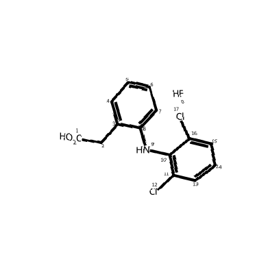 F.O=C(O)Cc1ccccc1Nc1c(Cl)cccc1Cl